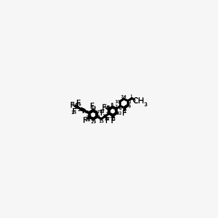 CCC1C=C(F)C(c2cc(F)c(C(F)(F)Cc3cc(F)c(C#CC(F)(F)F)c(F)c3)c(F)c2)CC1